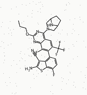 CCCOc1nc(N2CC3CCC(C2)N3)c2cc(C(F)(F)F)c(-c3ccc(F)c4sc(N)c(C#N)c34)c(F)c2n1